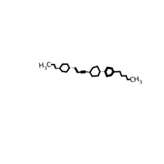 CCCCCc1ccc([C@H]2CC[C@H](C#CC=C[C@H]3CC[C@H](CCC)CC3)CC2)cc1